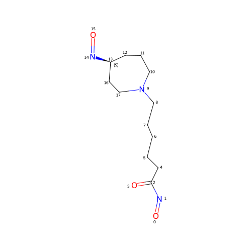 O=NC(=O)CCCCCN1CCC[C@H](N=O)CC1